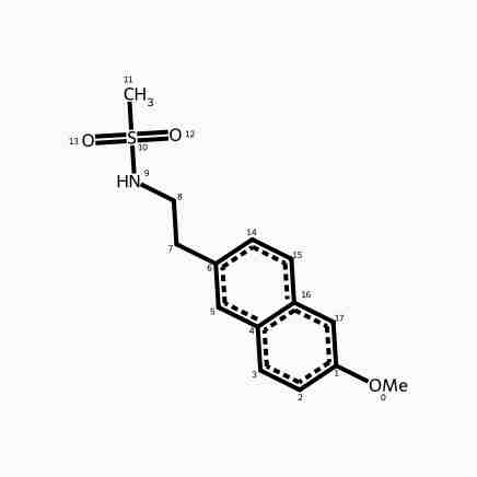 COc1ccc2cc(CCNS(C)(=O)=O)ccc2c1